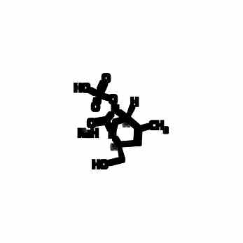 CC1=C[C@@H](CO)N2C[C@@H]1N(OS(=O)(=O)O)C2=O.[NaH]